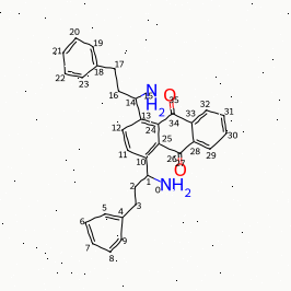 NC(CCc1ccccc1)c1ccc(C(N)CCc2ccccc2)c2c1C(=O)c1ccccc1C2=O